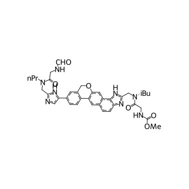 CCCN(Cc1ncc(-c2ccc3c(c2)COc2cc4c(ccc5nc(CN(C(=O)CNC(=O)OC)[C@@H](C)CC)[nH]c54)cc2-3)[nH]1)C(=O)CNC=O